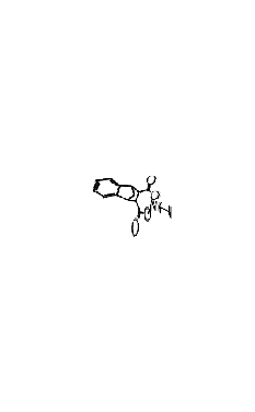 O=C1ONOC(=O)C2C3CC(c4ccccc43)C12